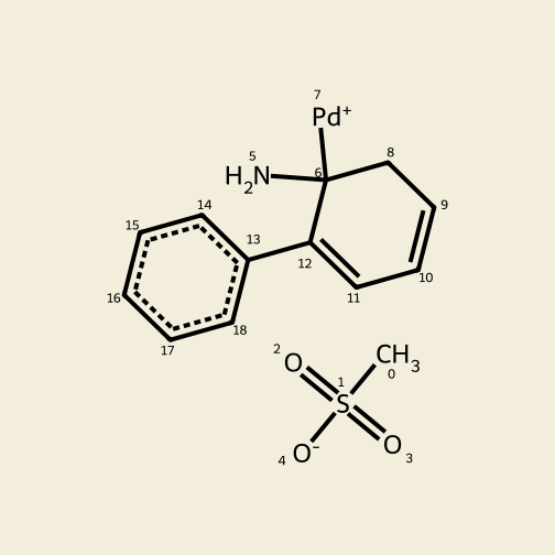 CS(=O)(=O)[O-].N[C]1([Pd+])CC=CC=C1c1ccccc1